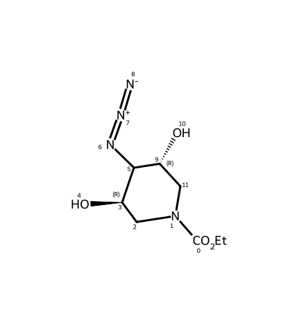 CCOC(=O)N1C[C@@H](O)C(N=[N+]=[N-])[C@H](O)C1